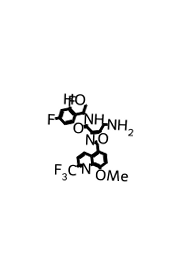 COc1ccc(-c2nc(C(=O)NC(CO)c3ccc(F)cc3F)c(CN)o2)c2ccc(C(F)(F)F)nc12